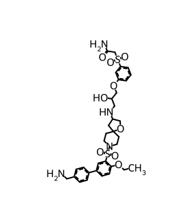 CCOc1ccc(-c2ccc(CN)cc2)cc1S(=O)(=O)N1CCC2(CC1)CC(NCC(O)COc1cccc(S(=O)(=O)CC(N)=O)c1)CO2